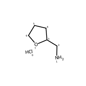 Cl.NCC1CCCO1